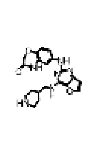 O=C1COc2ccc(Nc3nc(NCC4CCNCC4)c4occc4n3)cc2N1